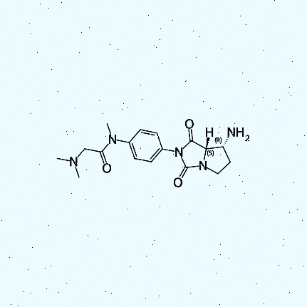 CN(C)CC(=O)N(C)c1ccc(N2C(=O)[C@@H]3[C@H](N)CCN3C2=O)cc1